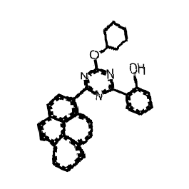 Oc1ccccc1-c1nc(OC2CCCCC2)nc(-c2ccc3ccc4cccc5ccc2c3c45)n1